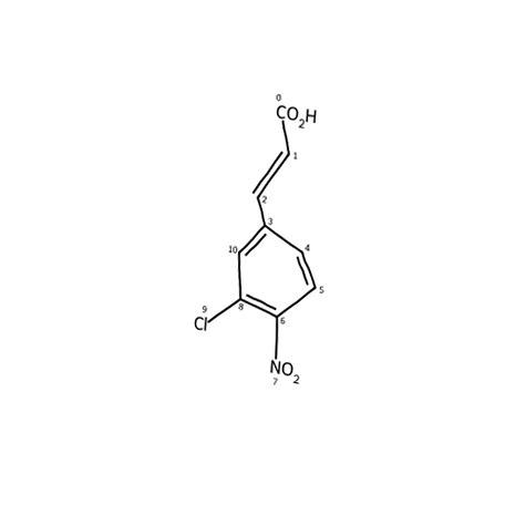 O=C(O)C=Cc1ccc([N+](=O)[O-])c(Cl)c1